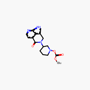 CC(C)(C)OC(=O)ON1CCCC(N2Cc3c[nH]c4nccc(c34)C2=O)C1